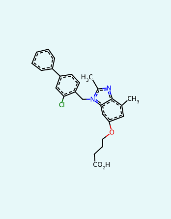 Cc1cc(OCCCC(=O)O)cc2c1nc(C)n2Cc1ccc(-c2ccccc2)cc1Cl